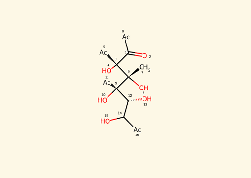 CC(=O)C(=O)[C@](O)(C(C)=O)[C@](C)(O)[C@](O)(C(C)=O)[C@H](O)C(O)C(C)=O